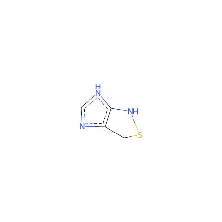 c1nc2c([nH]1)NSC2